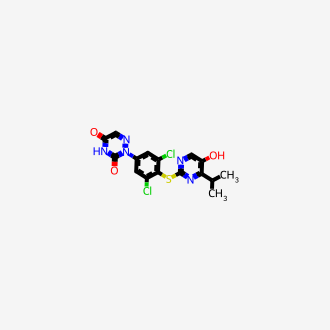 CC(C)c1nc(Sc2c(Cl)cc(-n3ncc(=O)[nH]c3=O)cc2Cl)ncc1O